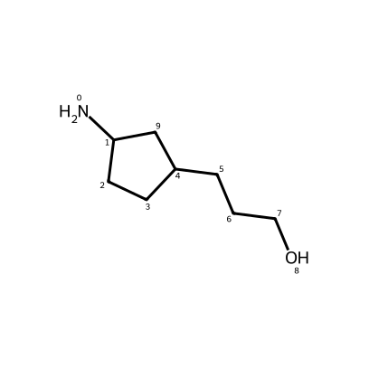 NC1CCC(CCCO)C1